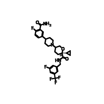 NC(=O)c1cc(C2CCN(C3CC[C@@](C(=O)NCc4cc(F)cc(C(F)(F)F)c4)(C4CC4)OC3)CC2)ccc1F